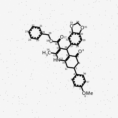 COc1ccc(C2CC(=O)C3=C(C2)NC(C)=C(C(=O)OCc2ccccc2)C3c2ccc3c(c2)OCO3)cc1